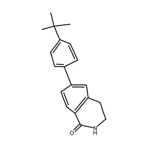 CC(C)(C)c1ccc(-c2ccc3c(c2)CCNC3=O)cc1